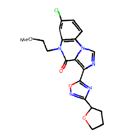 COCCn1c(=O)c2c(-c3nc(C4CCCO4)no3)ncn2c2ccc(Cl)cc21